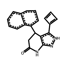 O=C1CC(c2cccc3ccccc23)c2c(n[nH]c2C2=CC=C2)N1